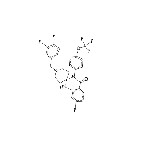 O=C1c2ccc(F)cc2NC2(CCN(Cc3ccc(F)c(F)c3)CC2)N1c1ccc(OC(F)(F)F)cc1